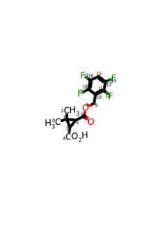 CC1(C)C(C(=O)O)C1C(=O)OCc1c(F)c(F)cc(F)c1F